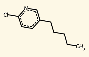 CCCCCc1ccc(Cl)nc1